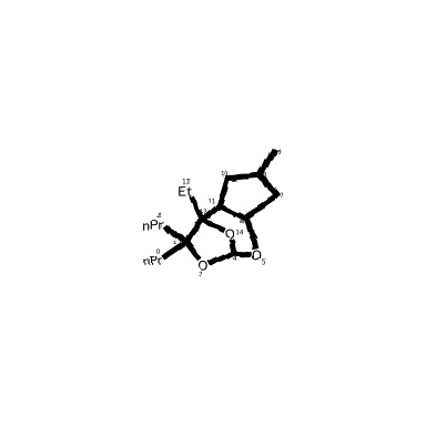 CCCC1(CCC)OC2OC3CC(C)CC3C1(CC)O2